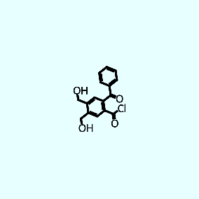 O=C(Cl)c1cc(CO)c(CO)cc1C(=O)c1ccccc1